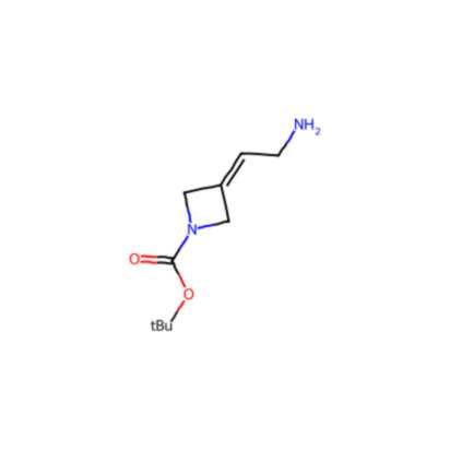 CC(C)(C)OC(=O)N1CC(=CCN)C1